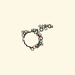 CO[C@H]1C[C@@H]2CC[C@@H](C)[C@@](O)(O2)C(=O)C(=O)N2CCCC[C@H]2C(=O)O[C@H]([C@H](N)C[C@@H]2CC[C@@H](OC(=O)NC3CCN(C)CC3)[C@H](OC)C2)C[C@@H](O)[C@H](C)/C=C(\C)[C@@H](O)[C@@H](OC)C(=O)[C@H](C)C[C@H](C)/C=C/C=C/C=C/1C